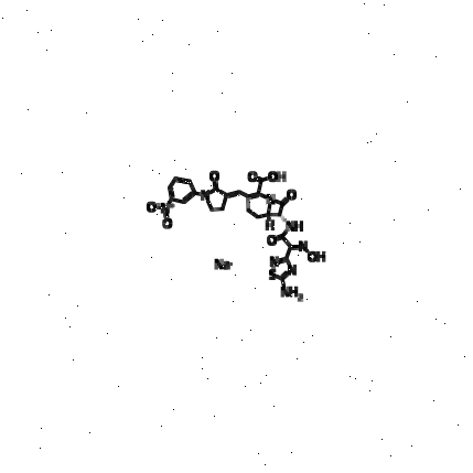 Nc1nc(C(=NO)C(=O)N[C@H]2C(=O)N3C(C(=O)O)=C(C=C4CCN(c5cccc([N+](=O)[O-])c5)C4=O)CC[C@@H]23)ns1.[Na]